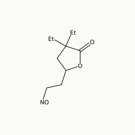 CCC1(CC)CC(CCN=O)OC1=O